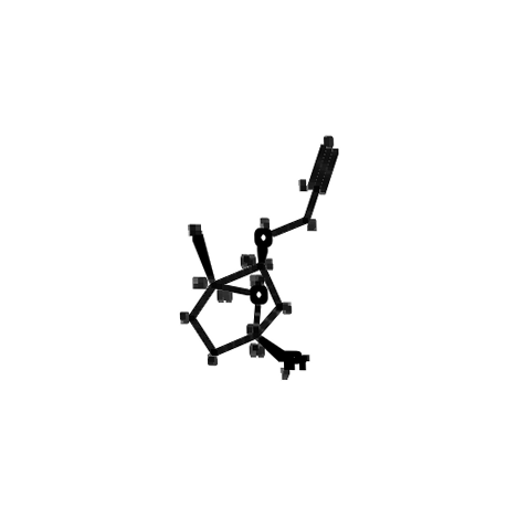 C#CCO[C@H]1C[C@]2(C(C)C)CC[C@@]1(C)O2